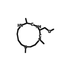 COCC1CN(C)CCN(C)CCCCNC(C)CN1